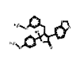 CNc1cccc(CC2=C(c3ccc4c(c3)OCO4)C(=O)OC2(O)c2ccc(OC)cc2)c1